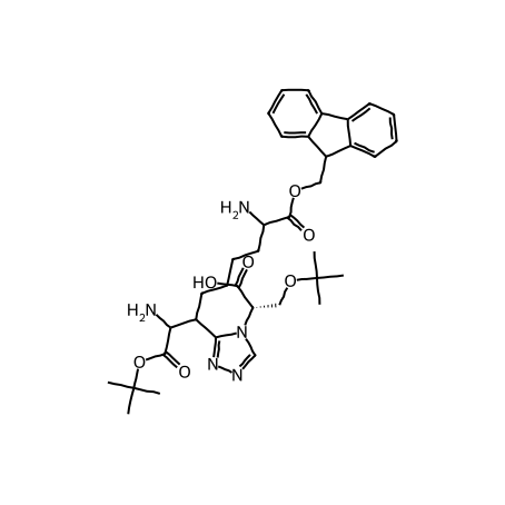 CC(C)(C)OC[C@@H](C(=O)O)n1cnnc1C(CCCCC(N)C(=O)OCC1c2ccccc2-c2ccccc21)C(N)C(=O)OC(C)(C)C